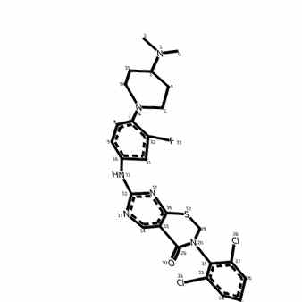 CN(C)C1CCN(c2ccc(Nc3ncc4c(n3)SCN(c3c(Cl)cccc3Cl)C4=O)cc2F)CC1